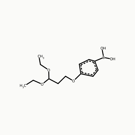 CCOC(CCOc1ccc(B(O)O)cc1)OCC